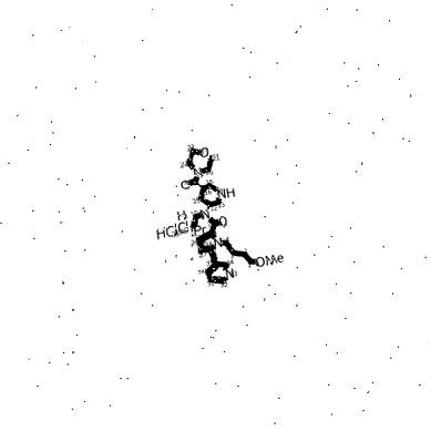 COCCCCn1c(C(=O)N(CC(C)C)[C@@H]2CNC[C@H](C(=O)N3CCOCC3)C2)ccc1-c1cccnc1.Cl.Cl